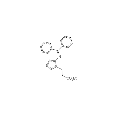 CCOC(=O)/C=C/c1cscc1N=C(c1ccccc1)c1ccccc1